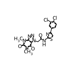 Cn1c(=O)c2c(nnn2CC(=O)Nc2nc(-c3ccc(Cl)c(Cl)c3)cs2)n(C)c1=O